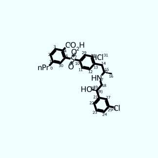 CCCc1ccc(C(=O)O)c(S(=O)(=O)c2ccc(C[C@@H](C)NC[C@H](O)c3cccc(Cl)c3)cc2)c1.Cl